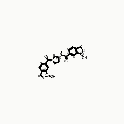 O=C(N[C@@H]1CCN(C(=O)c2ccc3c(c2)B(O)OC3)C1)c1ccc2c(c1)B(O)OC2